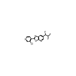 FC(F)C(F)c1cnc2oc(-c3ccncc3Cl)nc2c1